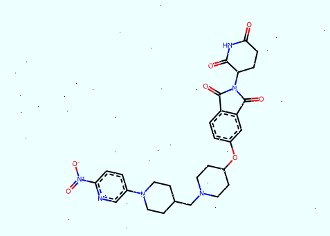 O=C1CCC(N2C(=O)c3ccc(OC4CCN(CC5CCN(c6ccc([N+](=O)[O-])nc6)CC5)CC4)cc3C2=O)C(=O)N1